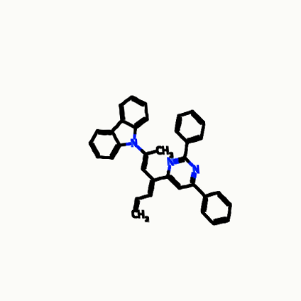 C=C/C=C(\C=C(/C)n1c2ccccc2c2ccccc21)c1cc(-c2ccccc2)nc(-c2ccccc2)n1